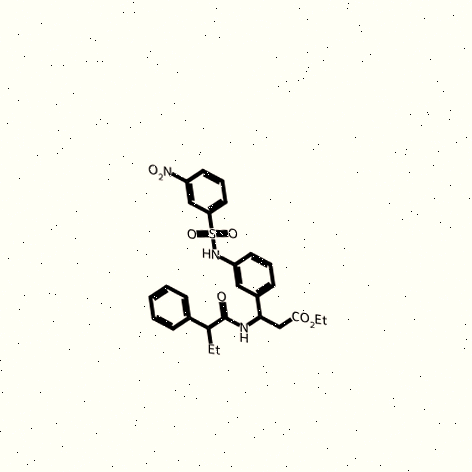 CCOC(=O)CC(NC(=O)C(CC)c1ccccc1)c1cccc(NS(=O)(=O)c2cccc([N+](=O)[O-])c2)c1